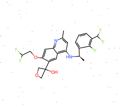 Cc1cc(N[C@H](C)c2cccc(C(F)F)c2F)c2cc(C3(O)COC3)c(OCC(F)F)cc2n1